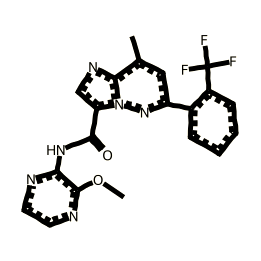 COc1nccnc1NC(=O)c1cnc2c(C)cc(-c3ccccc3C(F)(F)F)nn12